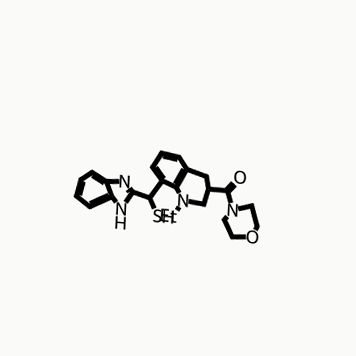 CCN1CC(C(=O)N2CCOCC2)Cc2cccc(C(S)c3nc4ccccc4[nH]3)c21